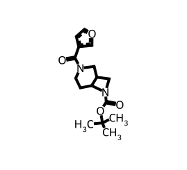 CC(C)(C)OC(=O)N1CC2CN(C(=O)c3ccoc3)CCC21